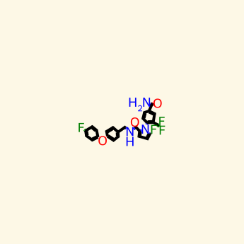 NC(=O)c1ccc(-n2cccc2C(=O)NCc2ccc(Oc3ccc(F)cc3)cc2)c(C(F)(F)F)c1